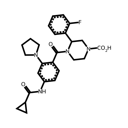 O=C(Nc1ccc(C(=O)N2CCN(C(=O)O)CC2c2ccccc2F)c(N2CCCC2)c1)C1CC1